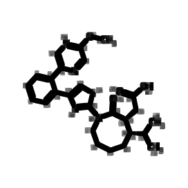 COc1cnc(-c2ccccc2-c2csc(N3CCCC[C@H](C(C)C)[C@H](CC(=O)O)C3=O)n2)cn1